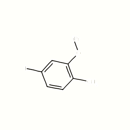 Cc1ccc(I)cc1OC(C)C